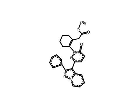 CC(C)(C)OC(=O)CC1=C(n2nc(-c3c(-c4ccccc4)nn4ccccc34)ccc2=O)CCCC1